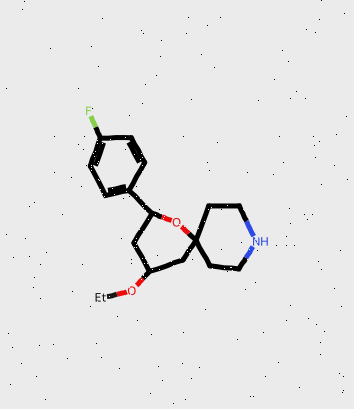 CCOC1CC(c2ccc(F)cc2)OC2(CCNCC2)C1